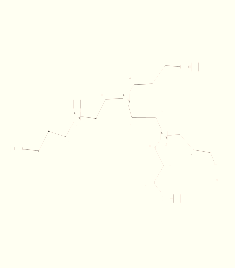 OCCCNCCN(CCCO)CCN(CCCO)CCCO